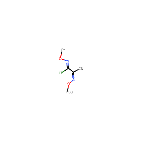 CCCCON=C(C#N)C(Cl)=NOCC